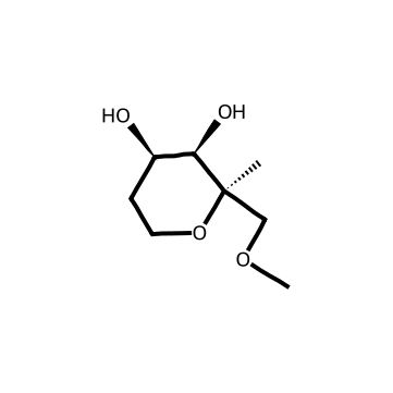 COC[C@@]1(C)OCC[C@@H](O)[C@H]1O